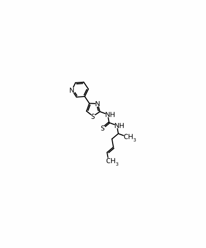 CC=CCC(C)NC(=S)Nc1nc(-c2cccnc2)cs1